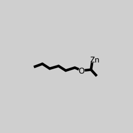 CCCCCCO[CH](C)[Zn]